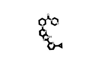 O=C([C@@H]1CCCN(c2ccc3nc(-c4cccc(C5CC5)n4)[nH]c3n2)C1)N1CCOCC1